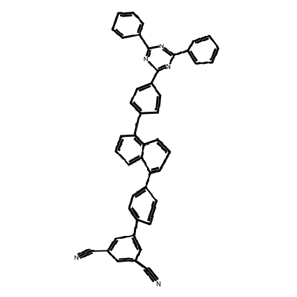 N#Cc1cc(C#N)cc(-c2ccc(-c3cccc4c(-c5ccc(-c6nc(-c7ccccc7)nc(-c7ccccc7)n6)cc5)cccc34)cc2)c1